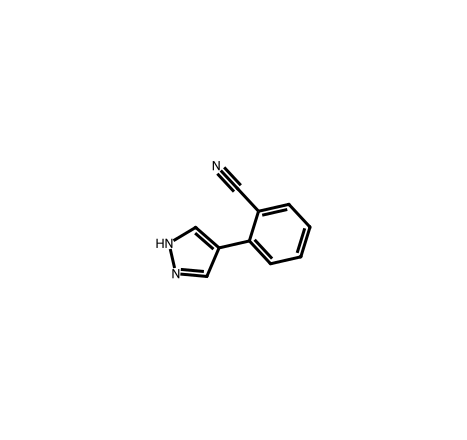 N#Cc1ccccc1-c1cn[nH]c1